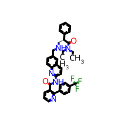 CCN(CC)C(=O)[C@H](CNCc1ccc2nc(NC(=O)c3cccnc3-c3ccc(C(F)(F)F)cc3)ccc2c1)c1ccccc1